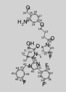 C[C@H](O)C(=O)N(C[C@@H]1CN(C(=O)CCCOc2ccc(C=O)c(N)c2)C[C@@H]1F)[C@@H](c1nc(-c2cc(F)ccc2F)cn1Cc1cccc(F)c1)C(C)(C)C